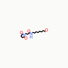 O=[C]CCCCCCCNC(=O)CCN1C(=O)CCC1=O